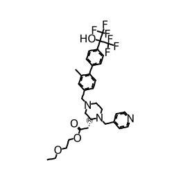 CCOCCOC(=O)C[C@@H]1CN(Cc2ccc(-c3ccc(C(O)(C(F)(F)F)C(F)(F)F)cc3)c(C)c2)CCN1Cc1ccncc1